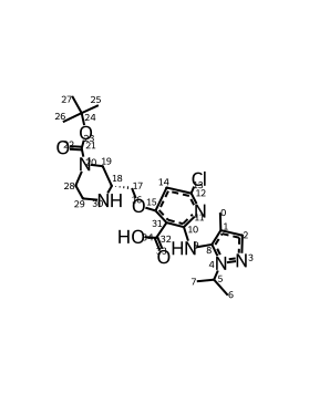 Cc1cnn(C(C)C)c1Nc1nc(Cl)cc(OC[C@H]2CN(C(=O)OC(C)(C)C)CCN2)c1C(=O)O